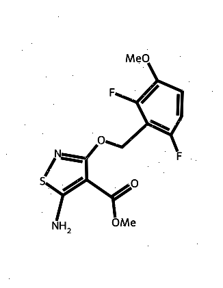 COC(=O)c1c(OCc2c(F)ccc(OC)c2F)nsc1N